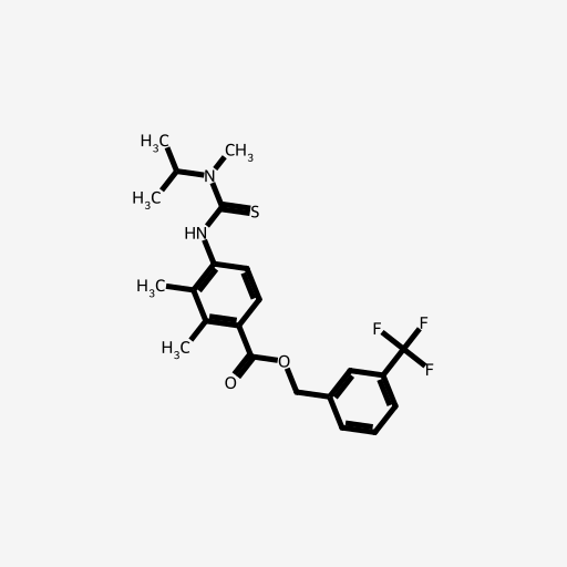 Cc1c(NC(=S)N(C)C(C)C)ccc(C(=O)OCc2cccc(C(F)(F)F)c2)c1C